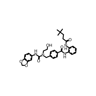 CC(C)(C)CCC(=O)Nc1ccccc1NC(=O)c1ccc(CN(CCO)C(=O)Nc2ccc3c(c2)OCO3)cc1